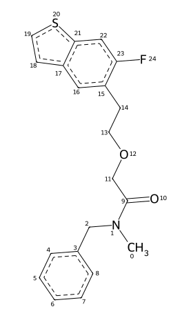 CN(Cc1ccccc1)C(=O)COCCc1cc2ccsc2cc1F